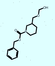 O=C(OCc1ccccc1)N1CCCC(COCO)C1